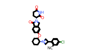 N#Cc1cc(Cl)ccc1C1CN([C@H]2CCCC[C@H]2Oc2ccc3c(c2)CN([C@@H]2CCC(=O)NC2=O)C3=O)C1